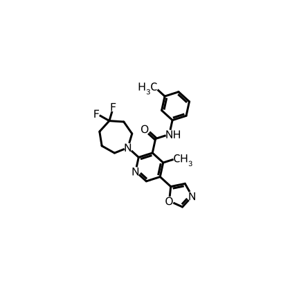 Cc1cccc(NC(=O)c2c(N3CCCC(F)(F)CC3)ncc(-c3cnco3)c2C)c1